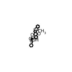 CC1c2ccccc2Cn2cc3c(c21)C(=O)c1cccc(OP(=O)(O)OCC2CCCCC2)c1C3=O